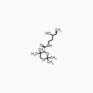 C=CC(O)CCNC(=O)[C@@H]1OC(C)(C)OCC1(C)C